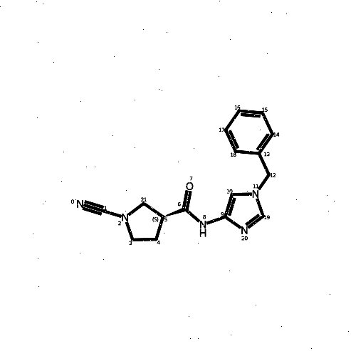 N#CN1CC[C@H](C(=O)Nc2cn(Cc3ccccc3)cn2)C1